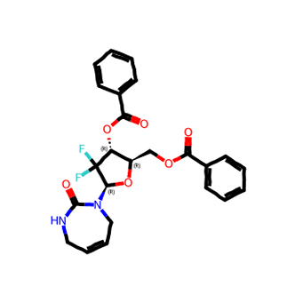 O=C(OC[C@H]1O[C@@H](N2CC=CCNC2=O)C(F)(F)[C@@H]1OC(=O)c1ccccc1)c1ccccc1